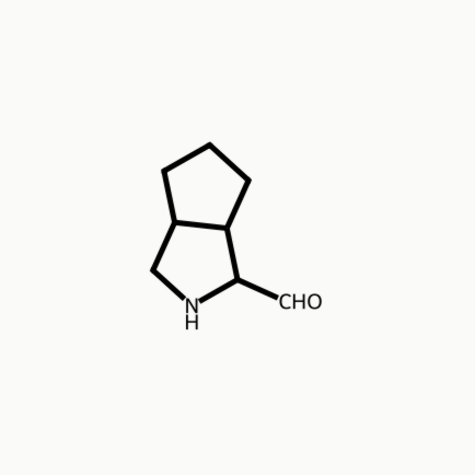 O=CC1NCC2CCCC21